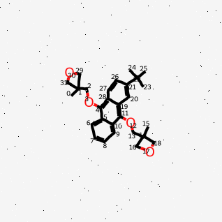 CC1(COc2c3ccccc3c(OCC3(C)COC3)c3cc(C(C)(C)C)ccc23)COC1